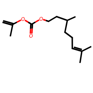 C=C(C)OC(=O)OCCC(C)CCC=C(C)C